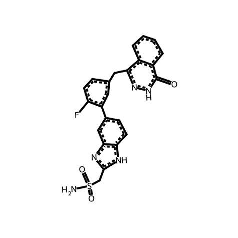 NS(=O)(=O)Cc1nc2cc(-c3cc(Cc4n[nH]c(=O)c5ccccc45)ccc3F)ccc2[nH]1